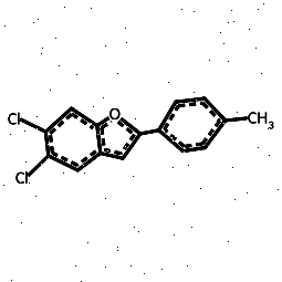 Cc1ccc(-c2cc3cc(Cl)c(Cl)cc3o2)cc1